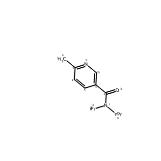 CCCN(C(=O)c1ccc(C)nc1)C(C)C